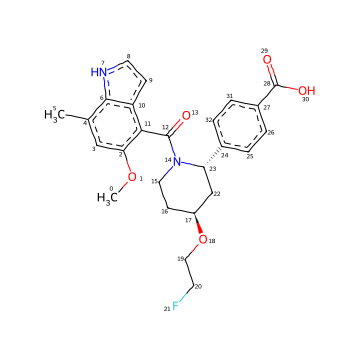 COc1cc(C)c2[nH]ccc2c1C(=O)N1CC[C@H](OCCF)C[C@H]1c1ccc(C(=O)O)cc1